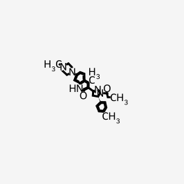 CCC(=O)N1N=C(c2c(C)c3ccc(N4CCN(C)CC4)cc3[nH]c2=O)C[C@H]1c1ccc(C)cc1